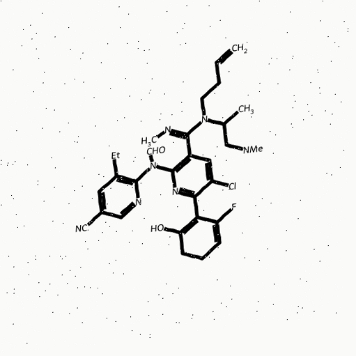 C=CCCN(/C(=N/C)c1cc(Cl)c(C2=C(O)CCC=C2F)nc1N(C=O)c1ncc(C#N)cc1CC)C(C)CNC